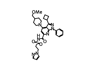 COCC1CCN(c2cc(C(=O)NS(=O)(=O)CCn3cccn3)nc3c2c(C2CCC2)nn3-c2ccccc2)CC1